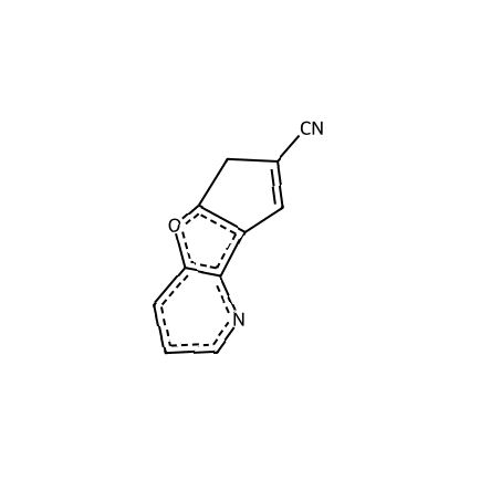 N#CC1=Cc2c(oc3cccnc23)C1